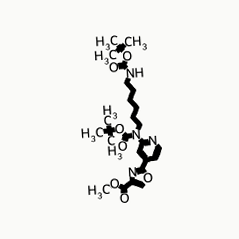 COC(=O)c1coc(-c2ccnc(N(CCCCCCNC(=O)OC(C)(C)C)C(=O)OC(C)(C)C)c2)n1